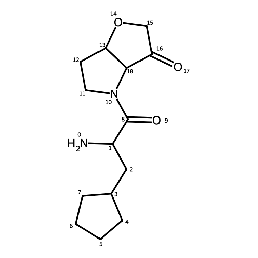 NC(CC1CCCC1)C(=O)N1CCC2OCC(=O)C21